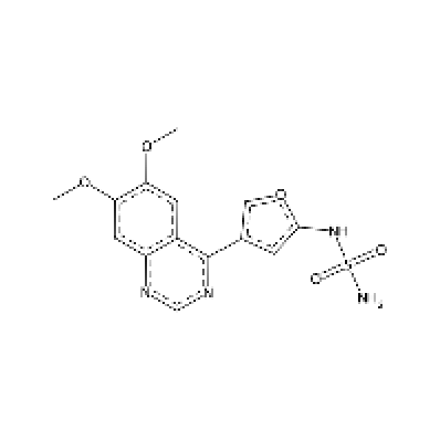 COc1cc2ncnc(-c3coc(NS(N)(=O)=O)c3)c2cc1OC